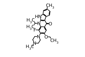 CCOc1cc2c(=O)c3c4ccc(C)cc4[nH]c3n(C(C)C)c2c(F)c1N1CCN(C)CC1